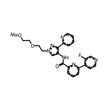 COCCOCCn1cc(NC(=O)c2cccc(-c3ccncc3F)n2)c(-c2ccccn2)n1